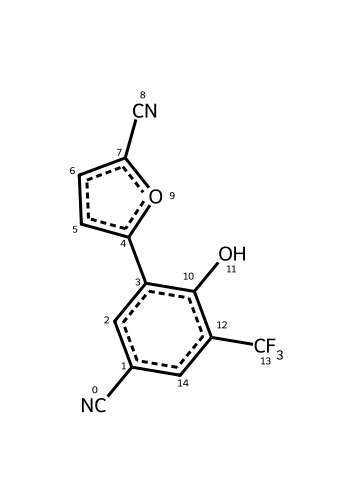 N#Cc1cc(-c2ccc(C#N)o2)c(O)c(C(F)(F)F)c1